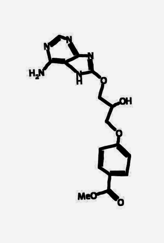 COC(=O)c1ccc(OCC(O)COc2nc3ncnc(N)c3[nH]2)cc1